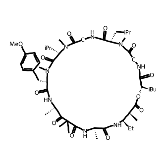 CC[C@H](C)[C@@H]1OC(=O)[C@@H](C)[C@@H](CC)NC(=O)[C@H](C)NC(=O)C(C)(C)C(=O)[C@H](C)NC(=O)[C@H](Cc2ccc(OC)cc2)N(C)C(=O)[C@H](C(C)C)N(C)C(=O)CNC(=O)[C@H](CC(C)C)N(C)C(=O)CNC1=O